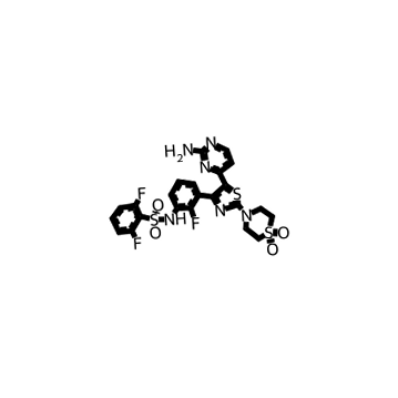 Nc1nccc(-c2sc(N3CCS(=O)(=O)CC3)nc2-c2cccc(NS(=O)(=O)c3c(F)cccc3F)c2F)n1